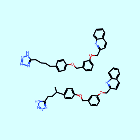 CC(CCc1nnn[nH]1)c1ccc(OCc2cccc(OCc3ccc4ccccc4n3)c2)cc1.c1cc(COc2ccc(CCCCc3nnn[nH]3)cc2)cc(OCc2ccc3ccccc3n2)c1